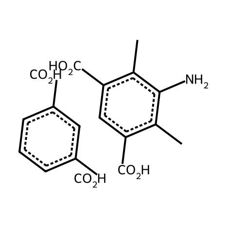 Cc1c(C(=O)O)cc(C(=O)O)c(C)c1N.O=C(O)c1cccc(C(=O)O)c1